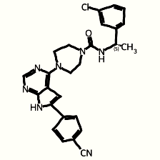 C[C@H](NC(=O)N1CCN(c2ncnc3[nH]c(-c4ccc(C#N)cc4)cc23)CC1)c1cccc(Cl)c1